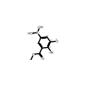 COC(=O)c1cc(B(O)O)cc(Cl)c1Br